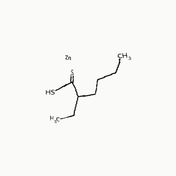 CCCCC(CC)C(=S)S.[Zn]